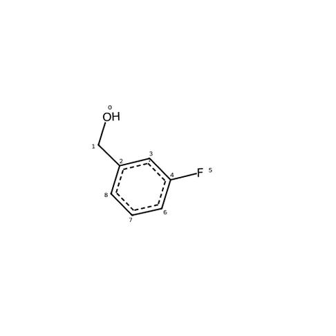 OCc1[c]c(F)ccc1